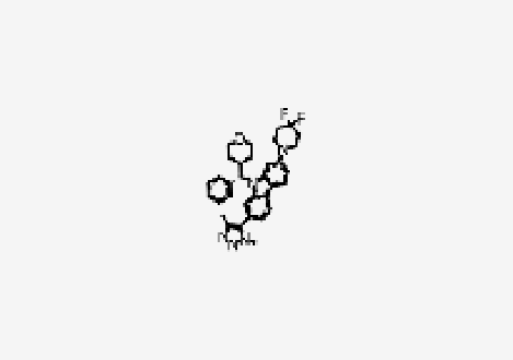 Cc1nnn(C)c1-c1ccc2c3ccc(N4CCC(F)(F)CC4)cc3n([C@H](c3ccccc3)C3CCOCC3)c2c1